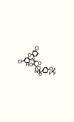 O=S(=O)(/N=C\C1COC[C@H](N2c3ccc(Cl)cc3Oc3cc(Cl)ccc32)[C@H]1O)c1ccc(OC(F)(F)F)cc1